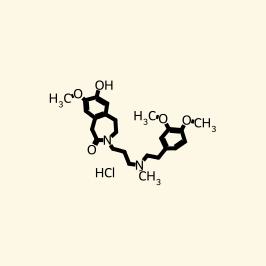 COc1cc2c(cc1O)CCN(CCCN(C)CCc1ccc(OC)c(OC)c1)C(=O)C2.Cl